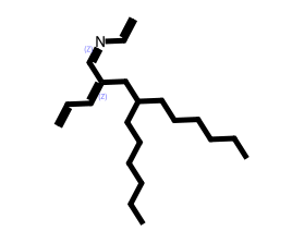 C=C/C=C(\C=N/C=C)CC(CCCCCC)CCCCCC